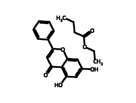 CCCC(=O)OCC.O=c1cc(-c2ccccc2)oc2cc(O)cc(O)c12